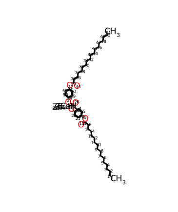 CCCCCCCCCCCCCCCCCC(=O)Oc1ccc(OC(=O)Oc2ccc(OC(=O)CCCCCCCCCCCCCCCCC)cc2)cc1.[CaH2].[CaH2].[Zn].[Zn]